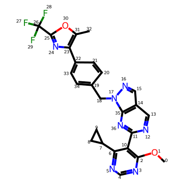 COc1ncnc(C2CC2)c1-c1ncc2cnn(Cc3ccc(-c4nc(C(F)(F)F)oc4C)cc3)c2n1